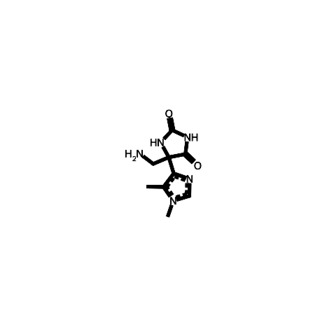 Cc1c(C2(CN)NC(=O)NC2=O)ncn1C